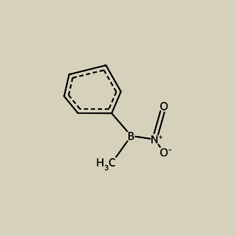 CB(c1ccccc1)[N+](=O)[O-]